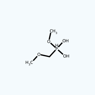 COC[PH](O)(O)OC